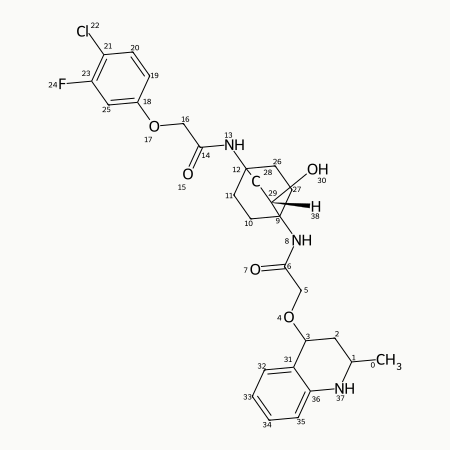 CC1CC(OCC(=O)NC23CCC(NC(=O)COc4ccc(Cl)c(F)c4)(CC2)C[C@@H]3O)c2ccccc2N1